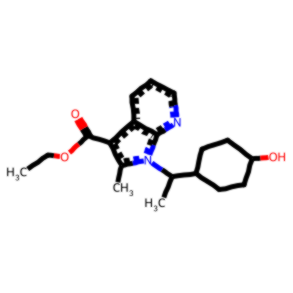 CCOC(=O)c1c(C)n(C(C)C2CCC(O)CC2)c2ncccc12